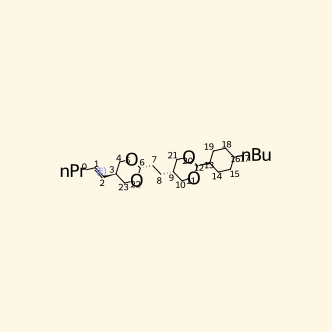 CCC/C=C/[C@H]1CO[C@H](CC[C@H]2CO[C@H](C3CCC(CCCC)CC3)OC2)OC1